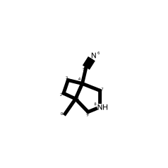 CC12CCC1(C#N)CNC2